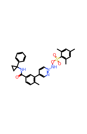 Cc1cc(C)c(S(=O)(=O)ON[n+]2ccc(-c3cc(C(=O)NC4(c5ccccc5)CC4)ccc3C)cn2)c(C)c1